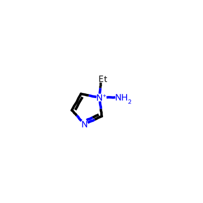 [CH2]C[N+]1(N)C=CN=C1